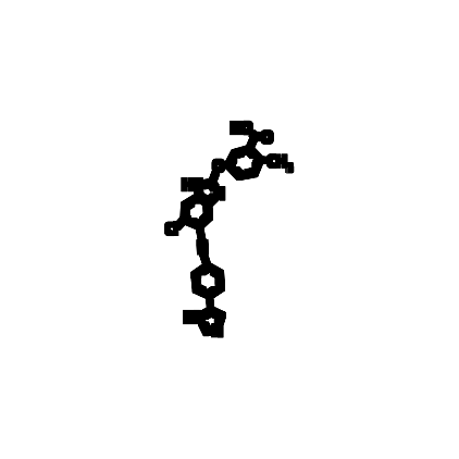 Cc1ccc(Oc2nc3cc(C#Cc4ccc(-c5cnc[nH]5)cc4)c(Cl)cc3[nH]2)cc1C(=O)O